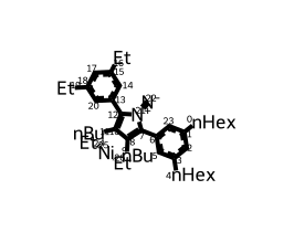 CCCCCCc1cc(CCCCCC)cc(C2=C(CCCC)C(CCCC)=C(c3cc(CC)cc(CC)c3)[N+]2=[N-])c1.C[CH2][Ni][CH2]C